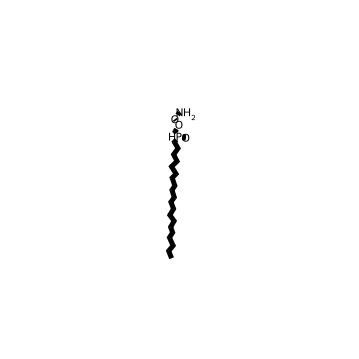 CCCCCCCCCCCCCCCCCCCC[PH](=O)COON